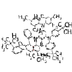 Cc1ccc(N(c2cc3c4c(c2)N(c2ccccc2-c2cccc5c2oc2c(C(C)(C)C)cccc25)c2ccc(C(C)(C)C)cc2B4c2cc(C(C)(C)C)ccc2N3c2ccc(C(C)(C)C)cc2)c2ccc(C)cc2C)c(C)c1